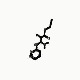 CCOC(=O)C(Br)C(Nc1cccnn1)N(C)C